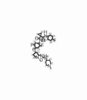 CN1CCC(N(C)C(=O)Nc2cc(Oc3cc(F)c(NC(=O)C4(C(=O)Nc5ccc(F)cc5)CC4)cc3F)ccn2)CC1